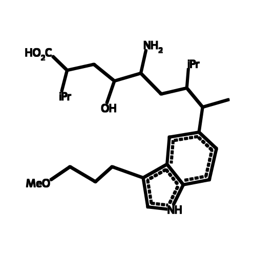 COCCCc1c[nH]c2ccc(C(C)C(CC(N)C(O)CC(C(=O)O)C(C)C)C(C)C)cc12